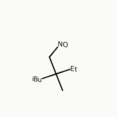 CCC(C)C(C)(CC)CN=O